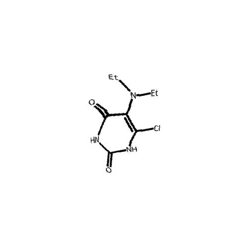 CCN(CC)c1c(Cl)[nH]c(=O)[nH]c1=O